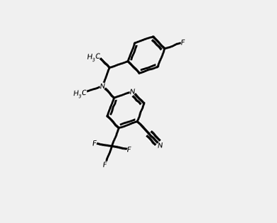 CC(c1ccc(F)cc1)N(C)c1cc(C(F)(F)F)c(C#N)cn1